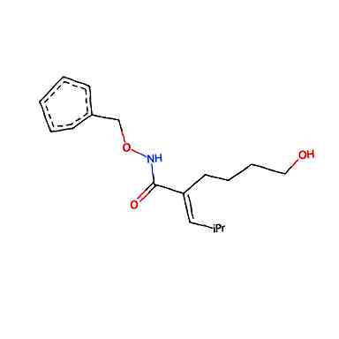 CC(C)C=C(CCCCO)C(=O)NOCc1ccccc1